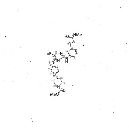 CNC(=O)COc1cccc(Nc2ncc(F)c(Nc3ccc(N4CCN(C(=O)OC)CC4)cc3)n2)c1